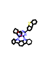 C1=Cc2c(n(C3=NC(c4ccc5c(c4)sc4ccccc45)=NC(c4ccccc4)N3)c3c2ccc2c4ccccc4n(-c4ccccc4)c23)CC1